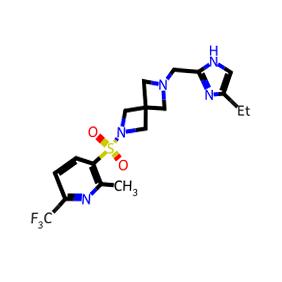 CCc1c[nH]c(CN2CC3(C2)CN(S(=O)(=O)c2ccc(C(F)(F)F)nc2C)C3)n1